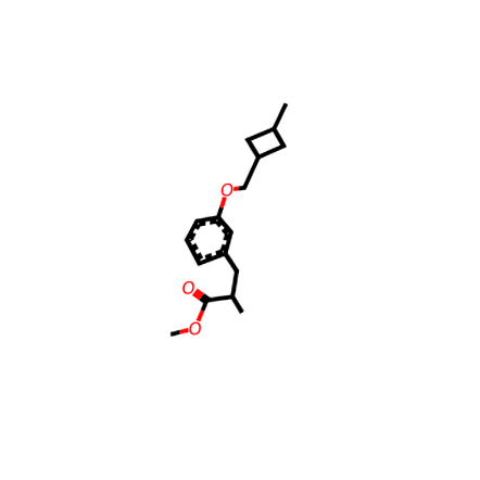 COC(=O)C(C)Cc1cccc(OCC2CC(C)C2)c1